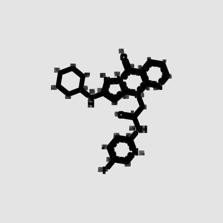 O=C(Cn1c2ncccc2c(=O)n2nc(NC3CCCCC3)cc12)Nc1ccc(F)cn1